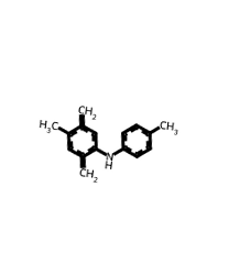 C=c1cc(Nc2ccc(C)cc2)c(=C)cc1C